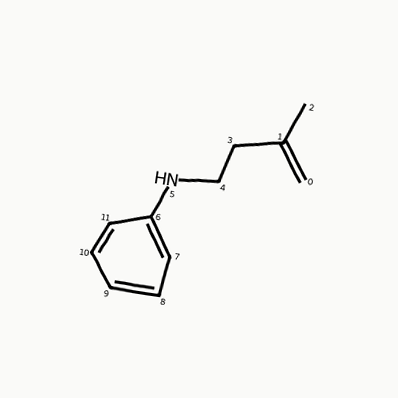 C=C(C)CCNc1ccccc1